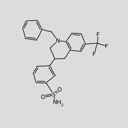 NS(=O)(=O)c1cccc(C2Cc3cc(C(F)(F)F)ccc3N(Cc3ccccc3)C2)c1